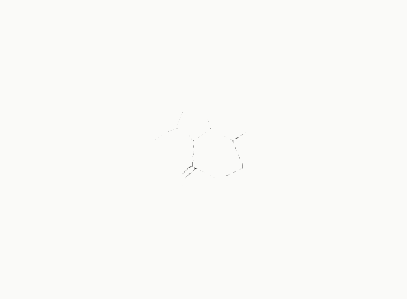 CC1COC(=O)C2C(C)CCC12